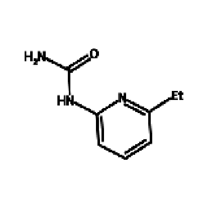 CCc1cccc(NC(N)=O)n1